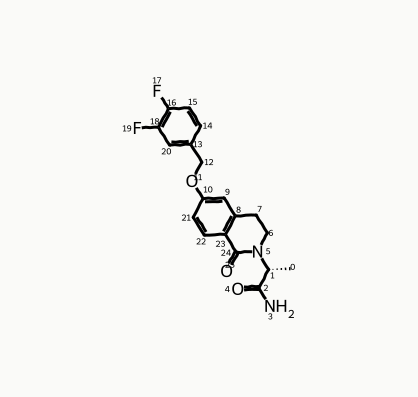 C[C@H](C(N)=O)N1CCc2cc(OCc3ccc(F)c(F)c3)ccc2C1=O